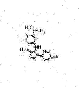 CC(C)C1=NC(Nc2c(-c3ncc(Br)cn3)cnn2C)=CNC1